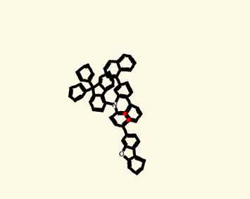 c1ccc(-c2ccc(-c3cccc4ccccc34)cc2N(c2ccc(-c3ccc4c(c3)oc3ccccc34)cc2)c2cccc3c2-c2ccccc2C3(c2ccccc2)c2ccccc2)cc1